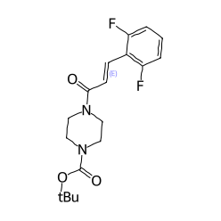 CC(C)(C)OC(=O)N1CCN(C(=O)/C=C/c2c(F)cccc2F)CC1